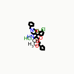 COC(COC(=O)C1=C(C)NC2=C(C(=O)CN(Cc3ccccc3)C2)C1c1cccc(Cl)c1Cl)c1ccccc1.Cl